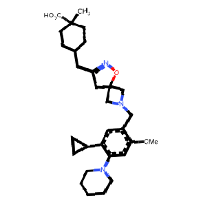 COc1cc(N2CCCCC2)c(C2CC2)cc1CN1CC2(CC(CC3CCC(C)(C(=O)O)CC3)=NO2)C1